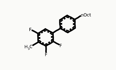 CCCCCCCCc1ccc(-c2cc(F)c(C)c(F)c2F)cc1